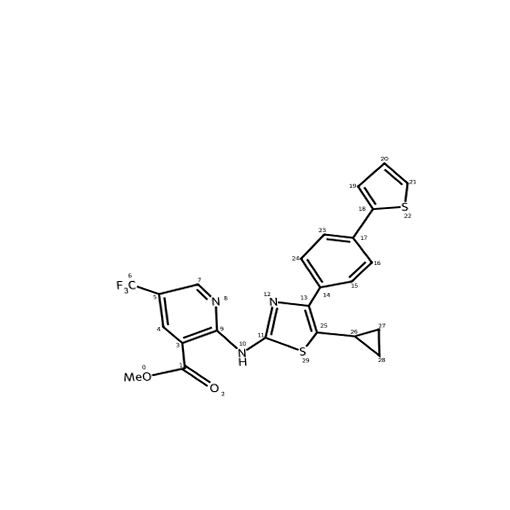 COC(=O)c1cc(C(F)(F)F)cnc1Nc1nc(-c2ccc(-c3cccs3)cc2)c(C2CC2)s1